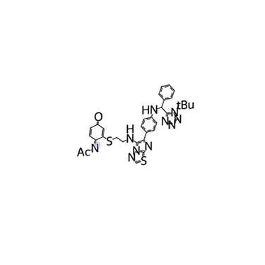 CC(=O)/N=C1\C=CC(=O)C=C1SCCNc1c(-c2ccc(NC(c3ccccc3)c3nnnn3C(C)(C)C)cc2)nc2scnn12